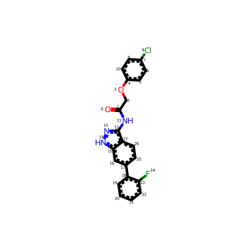 O=C(COc1ccc(Cl)cc1)Nc1n[nH]c2cc(-c3ccccc3F)ccc12